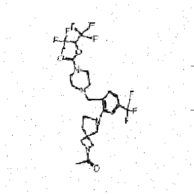 CC(=O)N1CC2(CCN(c3cc(C(F)(F)F)ccc3CN3CCN(C(=O)OC(C(F)(F)F)C(F)(F)F)CC3)C2)C1